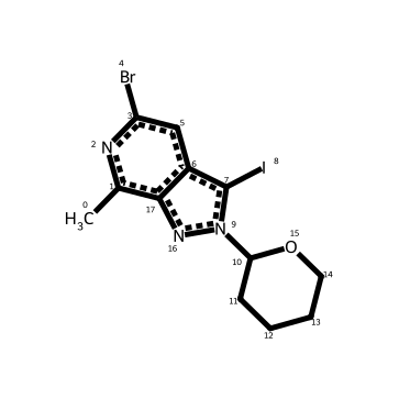 Cc1nc(Br)cc2c(I)n(C3CCCCO3)nc12